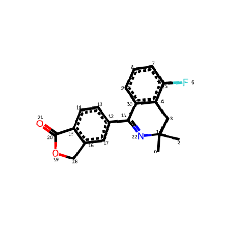 CC1(C)Cc2c(F)cccc2C(c2ccc3c(c2)COC3=O)=N1